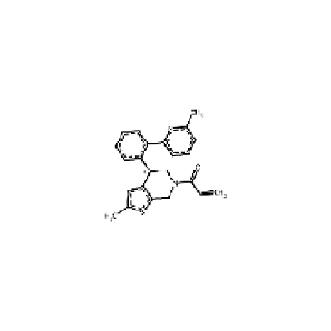 C=CC(=O)N1Cc2sc(C)cc2[C@@H](c2ccccc2-c2cccc(C)n2)C1